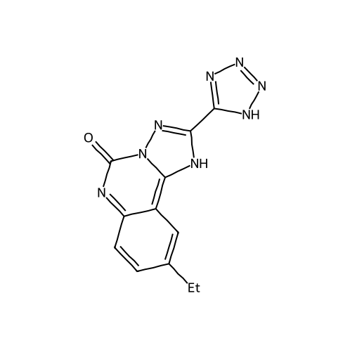 CCc1ccc2nc(=O)n3nc(-c4nnn[nH]4)[nH]c3c2c1